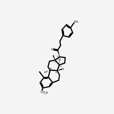 Cc1cc(C(=O)O)cc2c1[C@H]1CC[C@]3(C)[C@@H](C(=O)CCc4ccc(O)cc4)CC[C@H]3[C@@H]1CC2